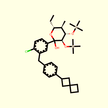 CC[C@H]1OC(O)(c2ccc(Cl)c(Cc3ccc(C4CC5(CCC5)C4)cc3)c2)[C@H](O[Si](C)(C)C)[C@@H](O[Si](C)(C)C)[C@@H]1C